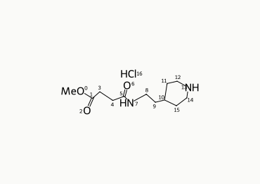 COC(=O)CCC(=O)NCCC1CCNCC1.Cl